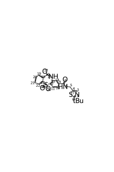 CC(C)(C)c1ncc(CNC(=O)c2ccc3c(c2)NC(=O)c2ccccc2S3(=O)=O)s1